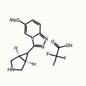 COc1ccc2nnc(C3[C@H]4CNC[C@@H]34)n2c1.O=C(O)C(F)(F)F